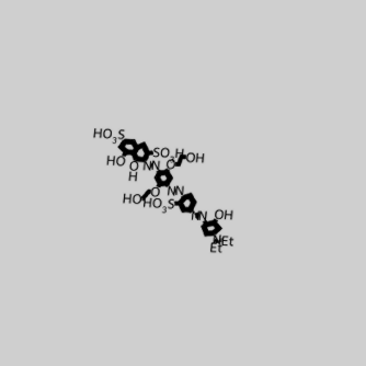 CCN(CC)c1ccc(/N=N/c2ccc(/N=N/c3cc(OCCO)c(/N=N/c4c(S(=O)(=O)O)cc5cc(S(=O)(=O)O)cc(O)c5c4O)cc3OCCO)c(S(=O)(=O)O)c2)c(O)c1